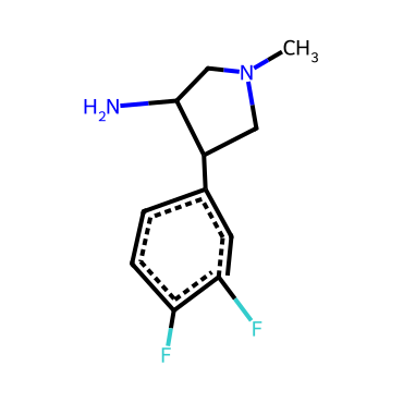 CN1CC(N)C(c2ccc(F)c(F)c2)C1